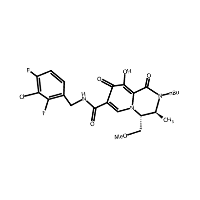 CCCCN1C(=O)c2c(O)c(=O)c(C(=O)NCc3ccc(F)c(Cl)c3F)cn2[C@@H](COC)[C@@H]1C